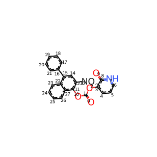 O=C(Oc1ccc[nH]c1=O)Oc1c([N+](=O)[O-])cc(-c2ccccc2)c2ccccc12